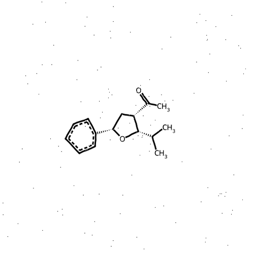 CC(=O)[C@H]1C[C@@H](c2ccccc2)O[C@H]1C(C)C